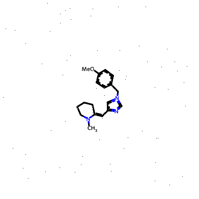 COc1ccc(Cn2cnc(C=C3CCCCN3C)c2)cc1